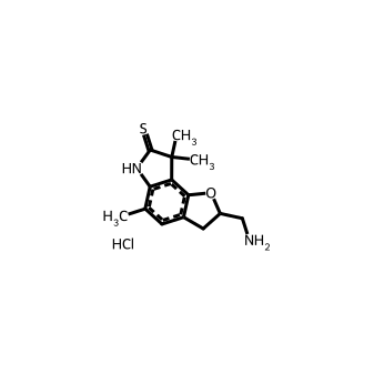 Cc1cc2c(c3c1NC(=S)C3(C)C)OC(CN)C2.Cl